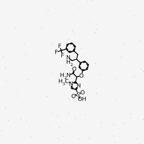 Cn1cc(S(=O)(=O)O)nc1C(Oc1cccc(C(CN)Cc2cccc(C(F)(F)F)c2)c1)C(N)=O